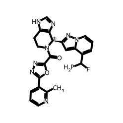 Cc1ncccc1-c1nnc(C(=O)N2CCc3[nH]cnc3[C@H]2c2cc3c(C(F)P)cccn3n2)o1